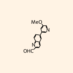 COc1cncc(-c2ccc3nc(C=O)ccc3c2)c1